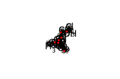 CC(OC(=O)OC1CCCCC1)OC(=O)C1(C(=O)OC(C)OC(=O)OC2CCCCC2)Oc2ccc(C[C@@H](C)NCC(O)c3cccc(Cl)c3)cc2O1